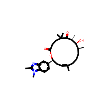 C/C1=C/C[C@@H](c2ccc3c(c2)nc(C)n3C)OC(=O)CCC(C)(C)C(=O)[C@H](C)[C@@H](O)[C@@H](C)CCC1